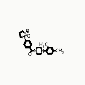 Cc1ccc(N2CCN(C(=O)c3ccc(N4CCCS4(=O)=O)cc3)CC2)c(C)c1